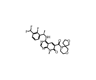 C[C@@H](Nc1ncnc2c1cc(C(=O)N1CCOCC13CCOC3)c(=O)n2C)c1cccc(C(F)F)c1F